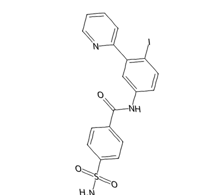 NS(=O)(=O)c1ccc(C(=O)Nc2ccc(I)c(-c3ccccn3)c2)cc1